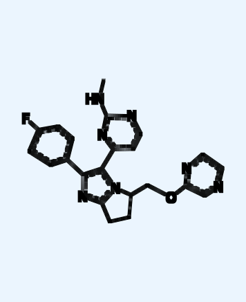 CNc1nccc(-c2c(-c3ccc(F)cc3)nc3n2C(COc2cnccn2)CC3)n1